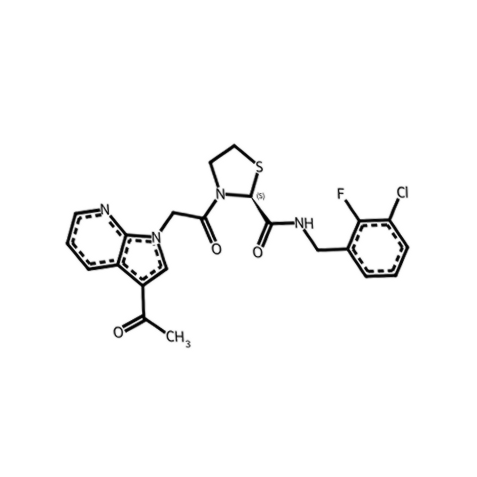 CC(=O)c1cn(CC(=O)N2CCS[C@H]2C(=O)NCc2cccc(Cl)c2F)c2ncccc12